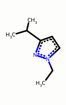 CCn1ccc(C(C)C)n1